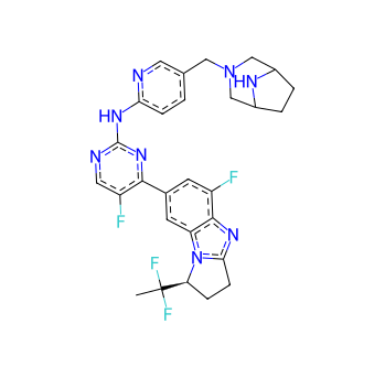 CC(F)(F)[C@@H]1CCc2nc3c(F)cc(-c4nc(Nc5ccc(CN6CC7CCC(C6)N7)cn5)ncc4F)cc3n21